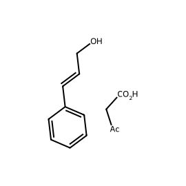 CC(=O)CC(=O)O.OCC=Cc1ccccc1